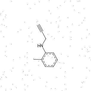 C#CCNc1ccccc1C